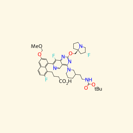 COCOc1cc(-c2ncc3c(N4CCCC(CCNC(=O)OC(C)(C)C)C4)nc(OC[C@@]45CCCN4C[C@H](F)C5)nc3c2F)c2c(CCCC(=O)O)c(F)ccc2c1